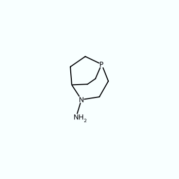 NN1CCP2CCC1CC2